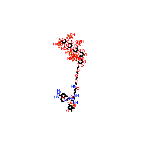 COc1cc(C)c(S(=O)(=O)N[C@@H](CC(=O)NCCCC(=O)NCCOCCOCCOCCO[C@H]2[C@H](OC)[C@@H](OC)[C@@H](O[C@H]3[C@H](OC)[C@@H](OC)[C@H](O[C@H]4[C@H](OS(=O)(=O)O)[C@@H](OS(=O)(=O)O)[C@@H](O[C@H]5[C@H](OC)[C@@H](OC)[C@H](O[C@H]6[C@H](OC)[C@@H](OS(=O)(=O)O)[C@@H](OC)O[C@@H]6COS(=O)(=O)O)O[C@H]5C(=O)O)O[C@@H]4COS(=O)(=O)O)O[C@@H]3C(=O)O)O[C@@H]2COS(=O)(=O)O)C(=O)N[C@H](Cc2ccc(C(=N)N)cc2)C(=O)N2CCCCC2)c(C)c1C